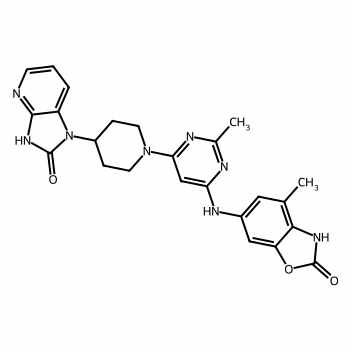 Cc1nc(Nc2cc(C)c3[nH]c(=O)oc3c2)cc(N2CCC(n3c(=O)[nH]c4ncccc43)CC2)n1